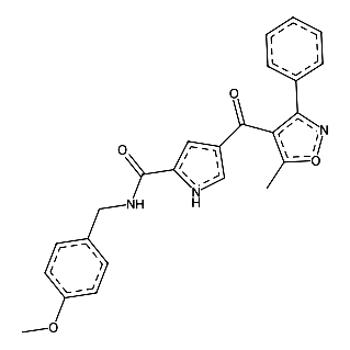 COc1ccc(CNC(=O)c2cc(C(=O)c3c(-c4ccccc4)noc3C)c[nH]2)cc1